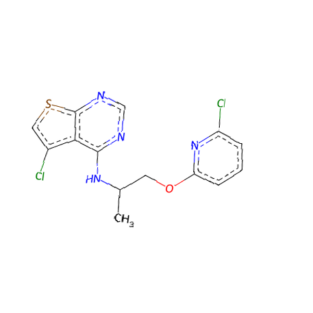 CC(COc1cccc(Cl)n1)Nc1ncnc2scc(Cl)c12